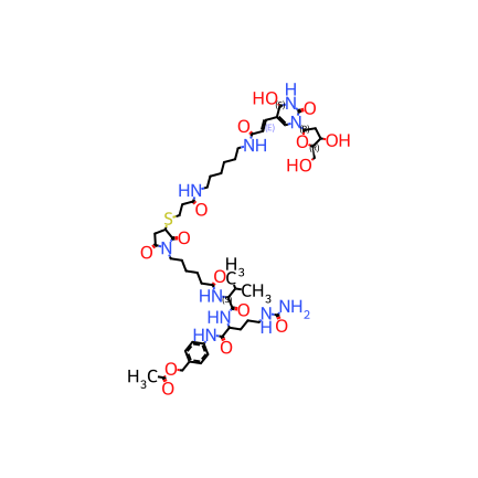 CC(=O)OCc1ccc(NC(=O)C(CCCNC(N)=O)NC(=O)[C@@H](NC(=O)CCCCCN2C(=O)CC(SCCC(=O)NCCCCCCNC(=O)/C=C/C3=CN([C@H]4CC(O)[C@@H](CO)O4)C(=O)N[C@H]3O)C2=O)C(C)C)cc1